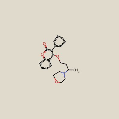 CC(CCOc1c(-c2ccccc2)c(=O)oc2ccccc12)N1CCOCC1